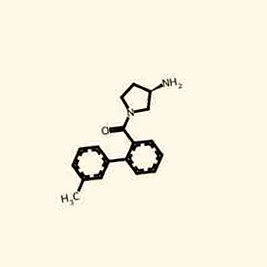 Cc1cccc(-c2ccccc2C(=O)N2CC[C@@H](N)C2)c1